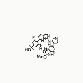 COC(=O)N[C@@H]1[C@H](N)C[C@H](c2ccncc2Nc2ncc3ccc(-c4c(F)cc(C(C)(C)O)cc4F)nn23)C[C@@H]1C